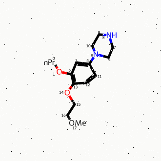 CCCOc1cc(N2CCNCC2)ccc1OCCOC